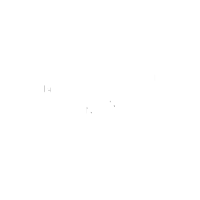 Cn1nc(CI)cc1Br